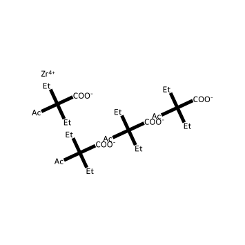 CCC(CC)(C(C)=O)C(=O)[O-].CCC(CC)(C(C)=O)C(=O)[O-].CCC(CC)(C(C)=O)C(=O)[O-].CCC(CC)(C(C)=O)C(=O)[O-].[Zr+4]